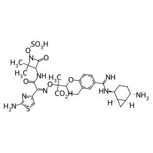 CC(ON=C(C(=O)NC1C(=O)N(OS(=O)(=O)O)C1(C)C)c1csc(N)n1)(C(=O)O)C1CCc2cc(C(=N)N[C@H]3CC[C@H](N)[C@H]4C[C@H]43)ccc2O1